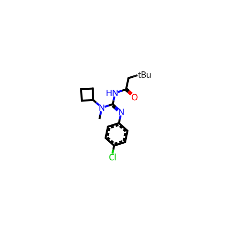 CN(/C(=N\c1ccc(Cl)cc1)NC(=O)CC(C)(C)C)C1CCC1